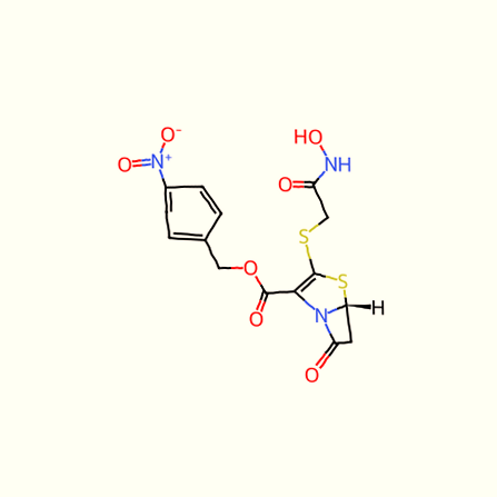 O=C(CSC1=C(C(=O)OCc2ccc([N+](=O)[O-])cc2)N2C(=O)C[C@H]2S1)NO